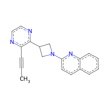 CC#Cc1nccnc1C1CN(c2ccc3ccccc3n2)C1